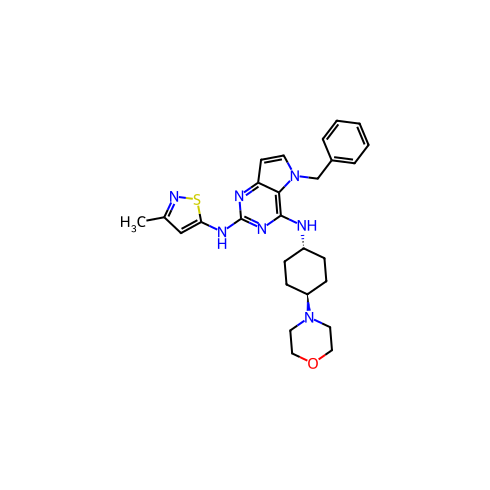 Cc1cc(Nc2nc(N[C@H]3CC[C@H](N4CCOCC4)CC3)c3c(ccn3Cc3ccccc3)n2)sn1